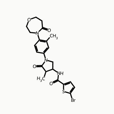 Cc1cc(N2CC(NC(=O)c3ccc(Br)s3)C(C)C2=O)ccc1N1CCOCCC1=O